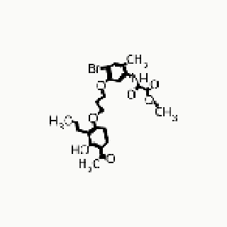 CCCc1c(OCCCOc2cc(NC(=O)C(=O)OCC)c(C)cc2Br)ccc(C(C)=O)c1O